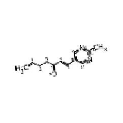 C=CCCC(=O)/C=C/c1cnc(C)nc1